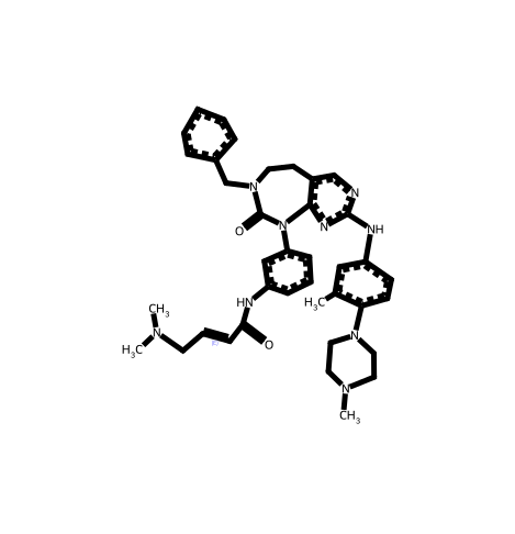 Cc1cc(Nc2ncc3c(n2)N(c2cccc(NC(=O)/C=C/CN(C)C)c2)C(=O)N(Cc2ccccc2)CC3)ccc1N1CCN(C)CC1